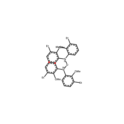 CCc1cccc([SiH](O[SiH](c2cccc(CC)c2OC)c2cccc(CC)c2OC)c2cccc(CC)c2OC)c1OC